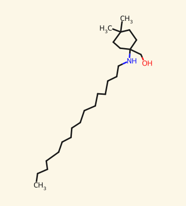 CCCCCCCCCCCCCCCCNC1(CO)CCC(C)(C)CC1